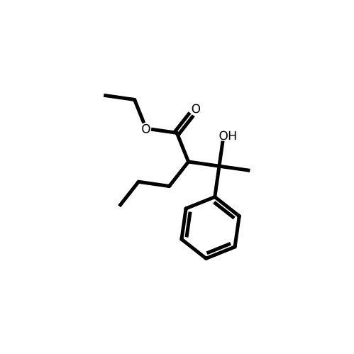 CCCC(C(=O)OCC)C(C)(O)c1ccccc1